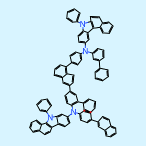 c1ccc(-c2cccc(N(c3ccc(-c4cccc5cc(-c6ccc(N(c7ccc(-c8ccc9ccccc9c8)cc7)c7ccc8c9ccc%10ccccc%10c9n(-c9ccccc9)c8c7)c(-c7ccccc7)c6)ccc45)cc3)c3ccc4c(c3)c3c5ccccc5ccc3n4-c3ccccc3)c2)cc1